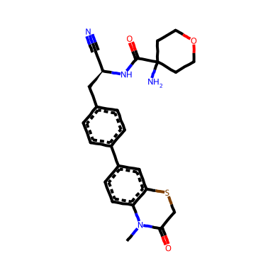 CN1C(=O)CSc2cc(-c3ccc(C[C@@H](C#N)NC(=O)C4(N)CCOCC4)cc3)ccc21